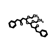 CCOC(CC(=O)Cc1ccccc1)OC(CC(=O)Cc1ccccc1)OCC